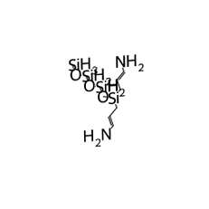 NC=CC[SiH](CC=CN)O[SiH2]O[SiH2]O[SiH3]